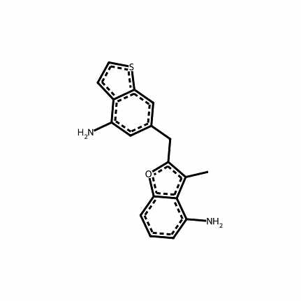 Cc1c(Cc2cc(N)c3ccsc3c2)oc2cccc(N)c12